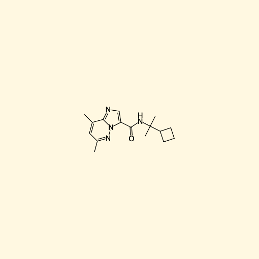 Cc1cc(C)c2ncc(C(=O)NC(C)(C)C3CCC3)n2n1